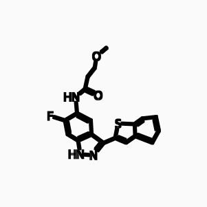 COCCC(=O)Nc1cc2c(-c3cc4ccccc4s3)n[nH]c2cc1F